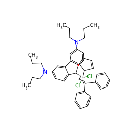 CCCN(CCC)c1ccc2c(c1)-c1cc(N(CCC)CCC)ccc1[CH]2[Zr]([Cl])([Cl])(=[C](c1ccccc1)c1ccccc1)[CH]1C=CC=C1